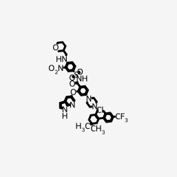 CC1(C)CCC(CN2CCN(c3ccc(C(=O)NS(=O)(=O)c4ccc(NCC5CCCOC5)c([N+](=O)[O-])c4)c(Oc4cnc5[nH]ccc5c4)c3)CC2)=C(c2ccc(C(F)(F)F)cc2Cl)C1